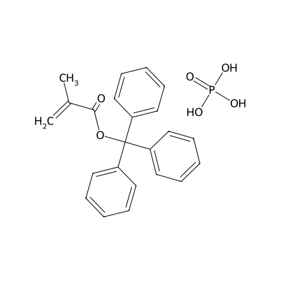 C=C(C)C(=O)OC(c1ccccc1)(c1ccccc1)c1ccccc1.O=P(O)(O)O